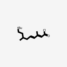 CC(/C=C/CC(C)CCC(C)(C)C)=C\C(=O)Cl